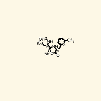 COC(=O)[C@H](Cc1cccc(C)n1)NC(=O)[C@@H](CC(C)(C)C)NC=O